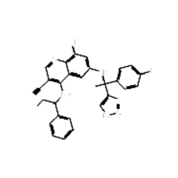 [2H]C(Nc1cc(Cl)c2ncc(C#N)c(NC(CC)c3ccccc3)c2c1)(c1ccc(F)cc1)c1c[nH]nn1